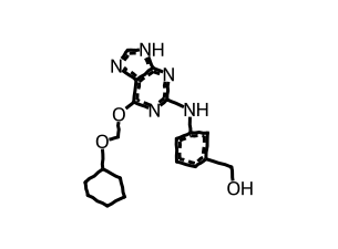 OCc1cccc(Nc2nc(OCOC3CCCCC3)c3nc[nH]c3n2)c1